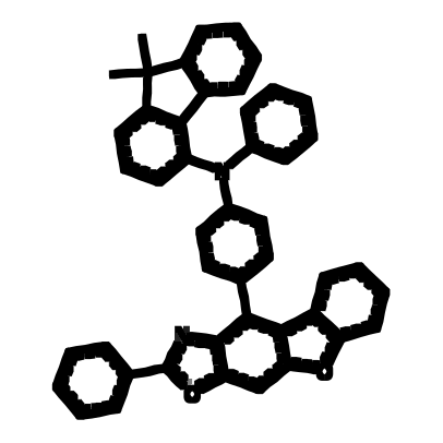 CC1(C)c2ccccc2-c2c(N(c3ccccc3)c3ccc(-c4c5nc(-c6ccccc6)oc5cc5oc6ccccc6c45)cc3)cccc21